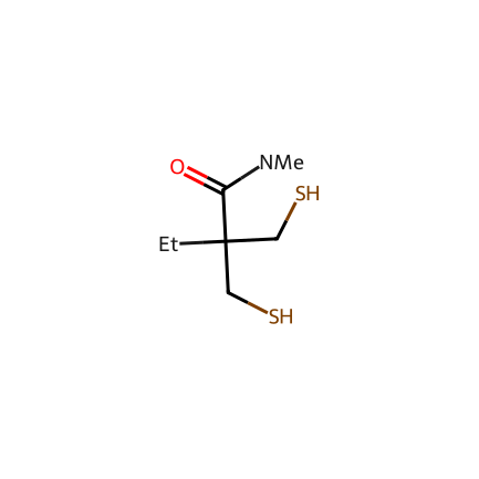 CCC(CS)(CS)C(=O)NC